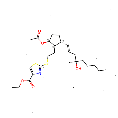 CCCCCC(C)(O)CC=C[C@H]1CC[C@H](OC(C)=O)[C@@H]1CCSc1nc(C(=O)OCC)cs1